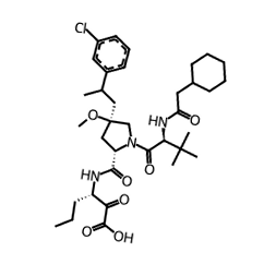 CCC[C@H](NC(=O)[C@@H]1C[C@@](CC(C)c2cccc(Cl)c2)(OC)CN1C(=O)[C@@H](NC(=O)CC1CCCCC1)C(C)(C)C)C(=O)C(=O)O